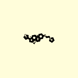 CO[C@@]12CCC(c3ccoc3)[C@@]1(C)CC[C@@H]1[C@H]2CCC2CC(SCCN3CCCC3)CC[C@@]21C